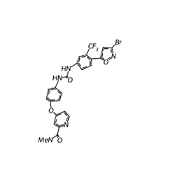 CNC(=O)c1cc(Oc2ccc(NC(=O)Nc3ccc(-c4cc(Br)no4)c(C(F)(F)F)c3)cc2)ccn1